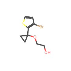 OCCOC1(c2sccc2Br)CC1